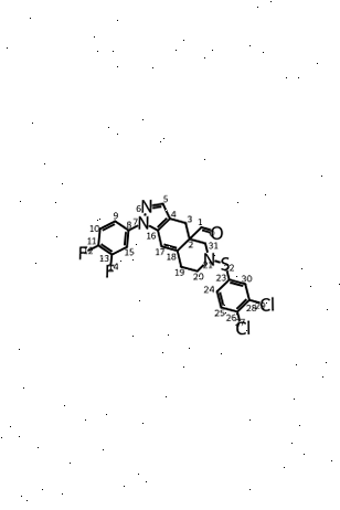 O=CC12Cc3cnn(-c4ccc(F)c(F)c4)c3C=C1CCN(Sc1ccc(Cl)c(Cl)c1)C2